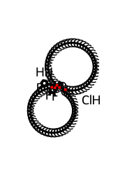 Cl.Fc1cccc(Oc2cc(F)c(F)cc2N2CCCCNCCCCCCCCCCCCCCCCCCCCCCCCCCCCCCCCCCCCCCCC3(CCCCCCCCCCCCCCCCCCCCCCCCCCCCCCCCCCCCCCCCCCCCCC34OCCO4)C2)c1